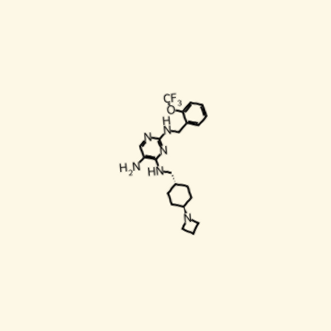 Nc1cnc(NCc2ccccc2OC(F)(F)F)nc1NC[C@H]1CC[C@H](N2CCC2)CC1